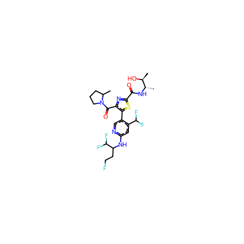 CC1CCCN1C(=O)c1nc(C(=O)N[C@@H](C)[C@H](C)O)sc1-c1cnc(NC(CCF)C(F)F)cc1C(F)F